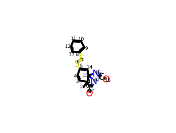 CC1(C)C=CC(SSc2ccccc2)=CC1(N=C=O)N=C=O